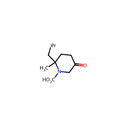 CC(C)CC1(C)CCC(=O)CN1C(=O)O